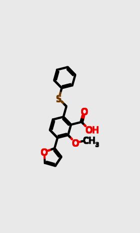 COc1c(-c2ccco2)ccc(CSc2ccccc2)c1C(=O)O